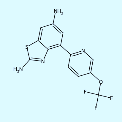 Nc1cc(-c2ccc(OC(F)(F)F)cn2)c2nc(N)sc2c1